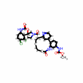 COC(=O)Nc1ccc2c(c1)NC(=O)CCCCC[C@H](C(=O)N1CC[C@@]3(C1)OC(=O)Nc1ccc(Cl)c(F)c13)c1cc-2ccn1